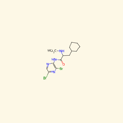 O=C(O)NC(CC1CCCCC1)C(=O)Nc1ncc(Br)nc1Br